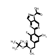 Cc1cc(CN(C)C(=O)OC(C)(C)C)cc(F)c1-c1ncc2c(cnn2C(=O)O)n1